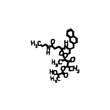 CCCNC(=O)CCC(=O)NC(COC(C)C(=O)C(C)OC(=O)C(C)O)Cc1ccc2ccccc2c1